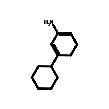 NC1=CCCC(C2CCCCC2)=C1